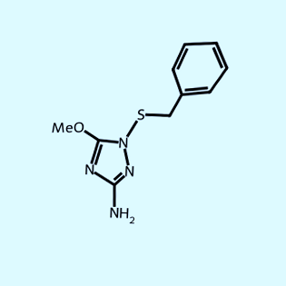 COc1nc(N)nn1SCc1ccccc1